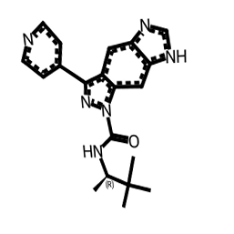 C[C@@H](NC(=O)n1nc(-c2ccncc2)c2cc3nc[nH]c3cc21)C(C)(C)C